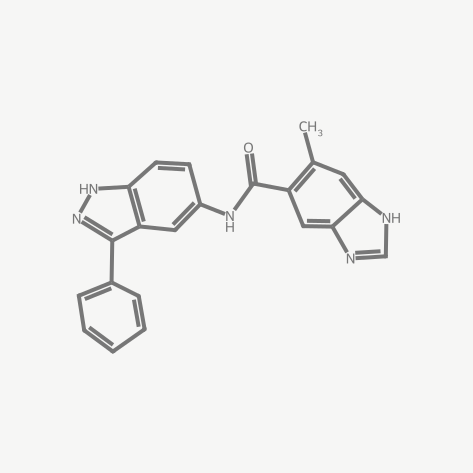 Cc1cc2[nH]cnc2cc1C(=O)Nc1ccc2[nH]nc(-c3ccccc3)c2c1